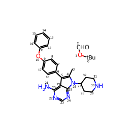 CC(C)(C)OC=O.Cc1c(-c2ccc(Oc3ccccc3)cc2)c2c(N)ncnc2n1C1CCNCC1